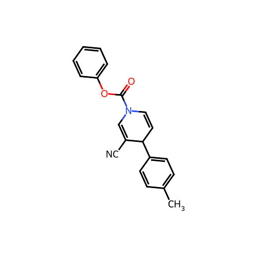 Cc1ccc(C2C=CN(C(=O)Oc3ccccc3)C=C2C#N)cc1